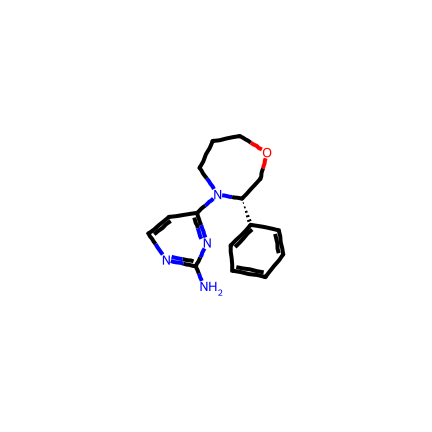 Nc1nccc(N2CCCOC[C@@H]2c2ccccc2)n1